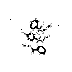 O=C=NC(=O)c1ccccc1.O=C=NS(=O)(=O)c1ccc(Cl)cc1.O=C=NS(=O)(=O)c1ccccc1